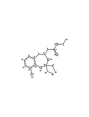 CCOC(=O)CC1Cc2cccc(Cl)c2OC(CC)(CC)O1